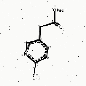 COC(=O)Cc1ccc(C(F)(F)F)nc1